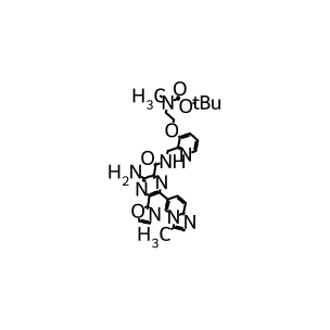 Cc1cnc2ccc(-c3nc(C(=O)NCc4ncccc4OCCN(C)C(=O)OC(C)(C)C)c(N)nc3-c3ncco3)cn12